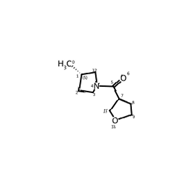 C[C@H]1CCN(C(=O)C2CCOC2)C1